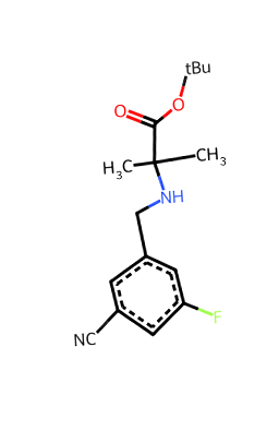 CC(C)(C)OC(=O)C(C)(C)NCc1cc(F)cc(C#N)c1